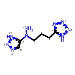 NN(CCCc1nnn[nH]1)c1cnn[nH]1